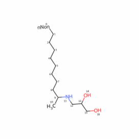 CCCCCCCCCCCCCCCCCC(C)NCC(O)CO